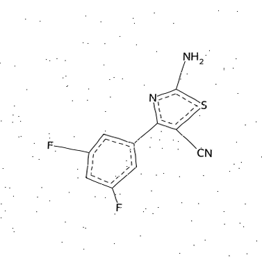 N#Cc1sc(N)nc1-c1cc(F)cc(F)c1